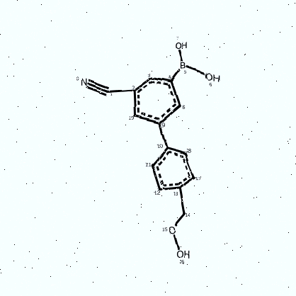 N#Cc1cc(B(O)O)cc(-c2ccc(COO)cc2)c1